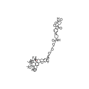 CCn1cc(-c2cc(Cn3ccn(C)c3=NC(=O)OC(C)(C)C)cc3c2OCC(Cc2ccc(F)c(OCCOCCOCCOCC(=O)NC4CCN(c5ccc6c(c5)C(=O)N(C5CCC(=O)NC5=O)C6=O)CC4)c2)C3=O)c(C(F)(F)F)n1